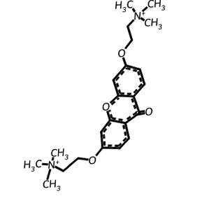 C[N+](C)(C)CCOc1ccc2c(=O)c3ccc(OCC[N+](C)(C)C)cc3oc2c1